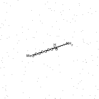 COCCOCCOCCOCCOCCOCCOCCNC(=O)CCCCCCCCCCN